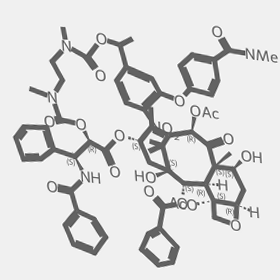 CNC(=O)c1ccc(Oc2cc(C(C)OC(=O)N(C)CCN(C)C(=O)O[C@@H](C(=O)O[C@H]3C[C@@]4(O)[C@@H](OC(=O)c5ccccc5)[C@@H]5[C@]6(OC(C)=O)CO[C@@H]6C[C@H](O)[C@@]5(C)C(=O)[C@H](OC(C)=O)C(=C3C)C4(C)C)[C@@H](NC(=O)c3ccccc3)c3ccccc3)ccc2[N+](=O)[O-])cc1